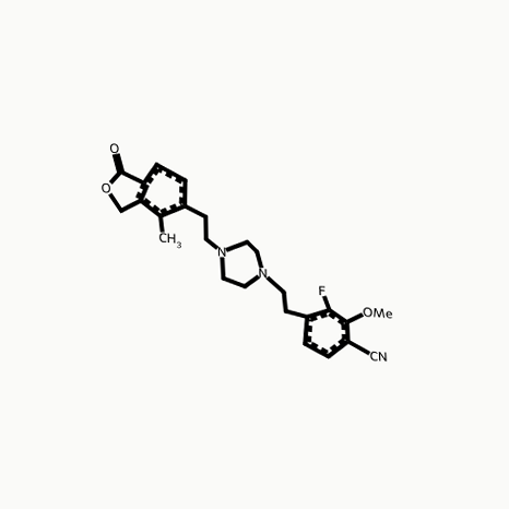 COc1c(C#N)ccc(CCN2CCN(CCc3ccc4c(c3C)COC4=O)CC2)c1F